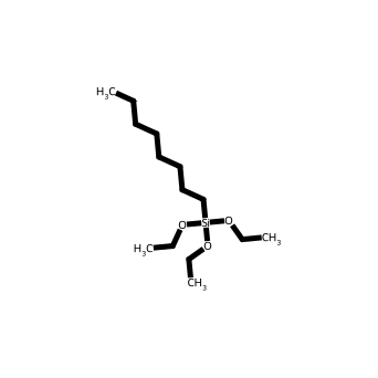 C[CH]CCCCCC[Si](OCC)(OCC)OCC